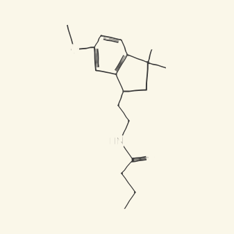 CCCC(=O)NCCC1CC(C)(C)c2ccc(OC)cc21